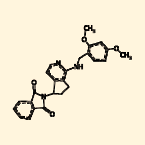 COc1ccc(CNc2nccc3c2CCC3N2C(=O)c3ccccc3C2=O)c(OC)c1